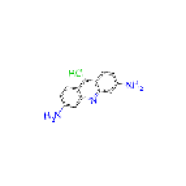 Cl.Nc1ccc2cc3ccc(N)cc3nc2c1